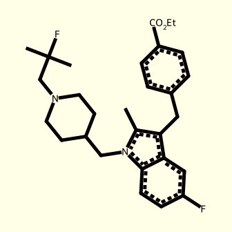 CCOC(=O)c1ccc(Cc2c(C)n(CC3CCN(CC(C)(C)F)CC3)c3ccc(F)cc23)cc1